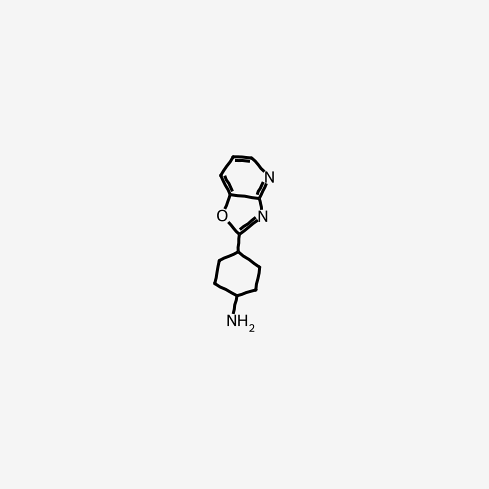 NC1CCC(c2nc3ncccc3o2)CC1